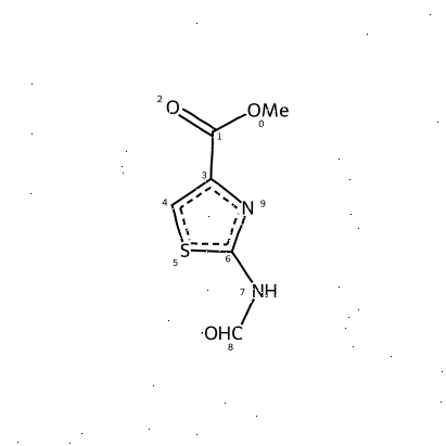 COC(=O)c1csc(N[C]=O)n1